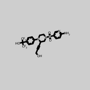 Nc1ccc(S(=O)(=O)N2CCN(c3ccc(C(O)(C(F)(F)F)C(F)(F)F)cc3)C(C#CCO)C2)cn1